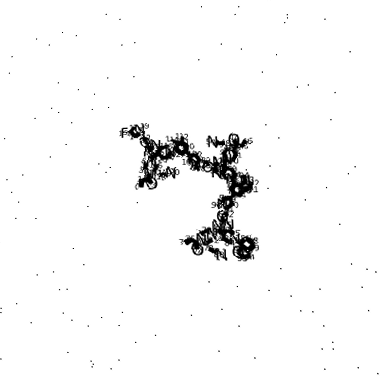 C=CC(=O)N1CCN(c2nc(OC[C@@H]3C[C@@H](F)CN3C)nc3c2CCN(c2cc(C4C[C@@H](COc5nc6c(c(N7CCN(C(=O)C=C)[C@@H](CC#N)C7)n5)CCN(c5cc(C7C[C@@H](COc8nc9c(c(N%10CCN(C(=O)C=C)[C@@H](CC#N)C%10)n8)CCN(c8cccc%10c8OCC%10)C9)N(C)C7)cc7ccn(C)c57)C6)N(C)C4)cc(C)c2C)C3)C[C@@H]1CC#N